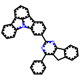 c1ccc(-c2nc(-c3ccc4c5cccc6c7ccccc7n(c4c3)c65)nc3c2Cc2ccccc2-3)cc1